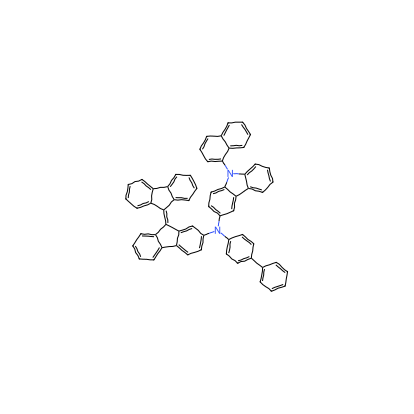 c1ccc(-c2ccc(N(c3ccc4c(c3)C(=C3c5ccccc5-c5ccccc53)c3ccccc3-4)c3ccc4c(c3)c3ccccc3n4-c3cccc4ccccc34)cc2)cc1